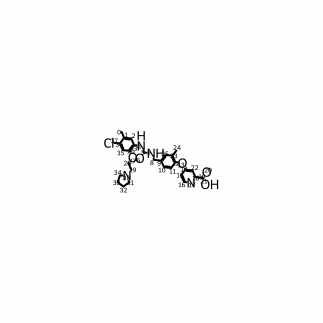 Cc1cc(NC(=O)NCc2ccc(Oc3ccnc(C(=O)O)c3)c(C)c2)c(OCCN2CCCC2)cc1Cl